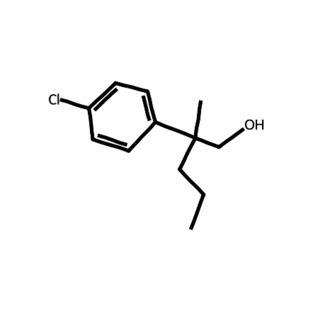 CCCC(C)(CO)c1ccc(Cl)cc1